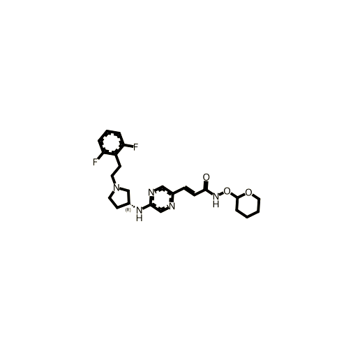 O=C(C=Cc1cnc(N[C@@H]2CCN(CCc3c(F)cccc3F)C2)cn1)NOC1CCCCO1